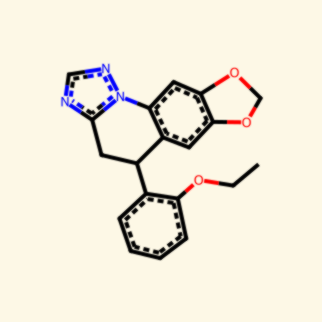 CCOc1ccccc1C1Cc2ncnn2-c2cc3c(cc21)OCO3